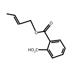 CC=CCOC(=O)c1ccccc1C(=O)O